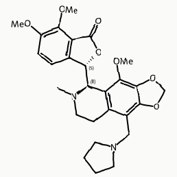 COc1ccc2c(c1OC)C(=O)O[C@@H]2[C@H]1c2c(c(CN3CCCC3)c3c(c2OC)OCO3)CCN1C